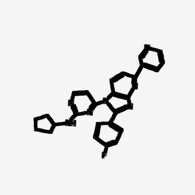 Fc1ccc(-c2nc3nc(-c4cccnc4)ccc3n2-c2ccnc(NC3CCCC3)n2)cc1